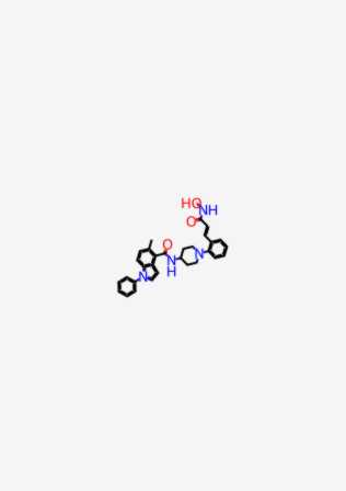 Cc1ccc2c(ccn2-c2ccccc2)c1C(=O)NC1CCN(c2ccccc2C=CC(=O)NO)CC1